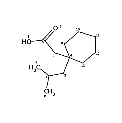 CC(C)CC1(CC(=O)O)CCCCC1